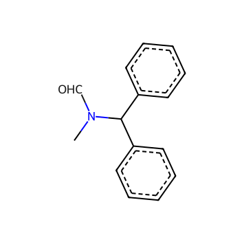 CN(C=O)C(c1ccccc1)c1ccccc1